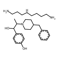 CC(C(O)c1ccc(O)cc1)N1CCC(Cc2ccccc2)CC1.NCCCCNCCCN